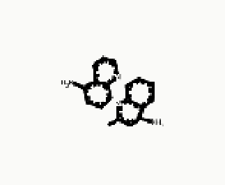 Cc1cc(N)c2ccccc2n1.Nc1cccc2ncccc12